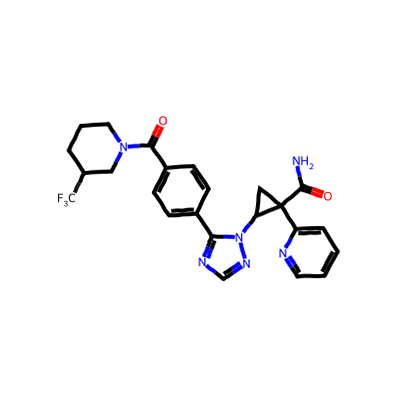 NC(=O)C1(c2ccccn2)CC1n1ncnc1-c1ccc(C(=O)N2CCCC(C(F)(F)F)C2)cc1